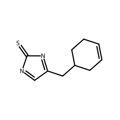 S=C1N=CC(CC2CC=CCC2)=N1